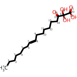 CCCCCCCC=CCCCCCCC(=O)C(O)(O)C(=O)O